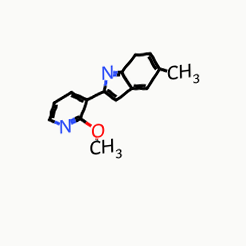 COc1ncccc1C1=CC2=CC(C)=CCC2=N1